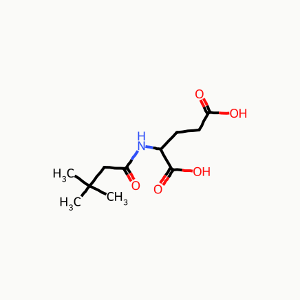 CC(C)(C)CC(=O)NC(CCC(=O)O)C(=O)O